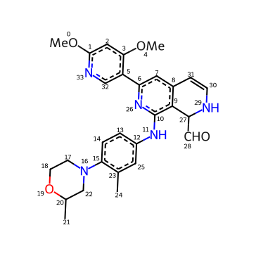 COc1cc(OC)c(-c2cc3c(c(Nc4ccc(N5CCOC(C)C5)c(C)c4)n2)C(C=O)NC=C3)cn1